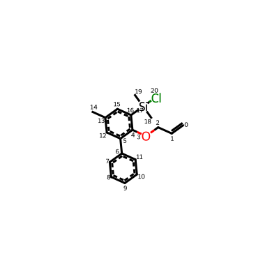 C=CCOc1c(-c2ccccc2)cc(C)cc1[Si](C)(C)Cl